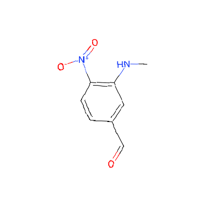 CNc1cc(C=O)ccc1[N+](=O)[O-]